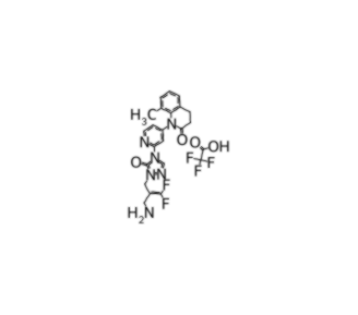 Cc1cccc2c1N(c1ccnc(-n3cnn(CC(CN)=C(F)F)c3=O)c1)C(=O)CC2.O=C(O)C(F)(F)F